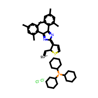 C1CCC(P(C2CCCCC2)C2CCCCC2)CC1.Cc1cc(C)c(C2=NC(=C3C=CSC3[CH]=[Ru+2])N=C2c2c(C)cc(C)cc2C)c(C)c1.[Cl-].[Cl-]